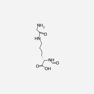 NCC(=O)NCCCC[C@H](NC=O)C(=O)O